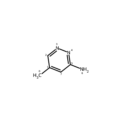 Cc1cnnc(N)c1